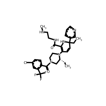 CC[C@@H]1CN(C(=O)c2ccc(Cl)cc2C(F)(F)F)CCN1C1=C(C(=O)NCCNC)NC(CC)(c2cccnc2)C=C1